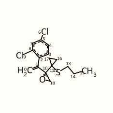 C=C(c1ccc(Cl)cc1Cl)C1(C2(SCCC)CC2)CO1